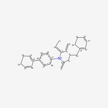 C=C/C(=C\C)N(C(=C)CCCC1=CC=CCC1)c1ccc(C2=CCCC=C2)cc1